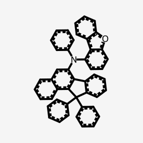 c1ccc(N(c2cc3ccccc3c3c2-c2ccccc2C3(c2ccccc2)c2ccccc2)c2cccc3oc4ccccc4c23)cc1